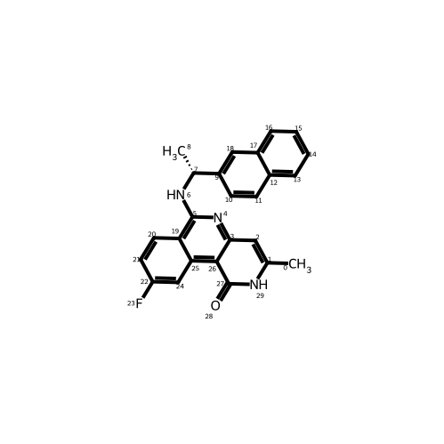 Cc1cc2nc(N[C@H](C)c3ccc4ccccc4c3)c3ccc(F)cc3c2c(=O)[nH]1